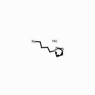 [HH].[Na][CH2]CCCn1ccnn1